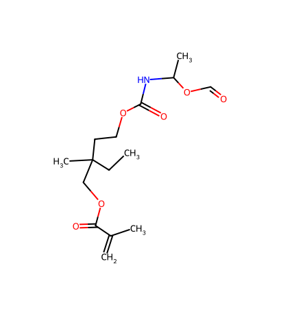 C=C(C)C(=O)OCC(C)(CC)CCOC(=O)NC(C)OC=O